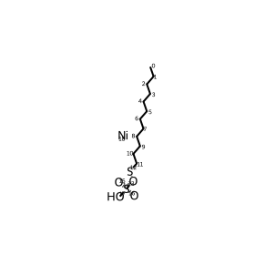 CCCCCCCCCCCCSOS(=O)(=O)O.[Ni]